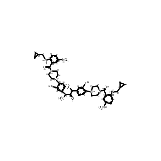 CC(C(=O)C(C)c1ccc(N2CCN(C(=O)c3cc([N+](=O)[O-])ccc3NCC3CC3)CC2)c(F)c1)c1ccc(N2CCN(C(=O)c3cc([N+](=O)[O-])ccc3NCC3CC3)CC2)c(F)c1